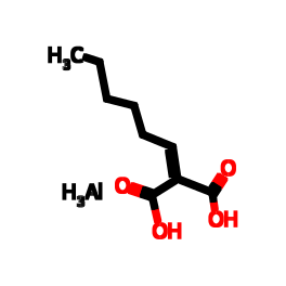 CCCCCC=C(C(=O)O)C(=O)O.[AlH3]